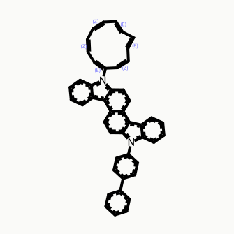 C1=C\C=C\C=C\C=C/C(n2c3ccccc3c3c4ccc5c(c4ccc32)c2ccccc2n5-c2ccc(-c3ccccc3)cc2)=C\C=C/1